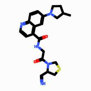 CC1CCN(c2ccc3nccc(C(=O)NCC(=O)N4CSCC4C=N)c3c2)C1